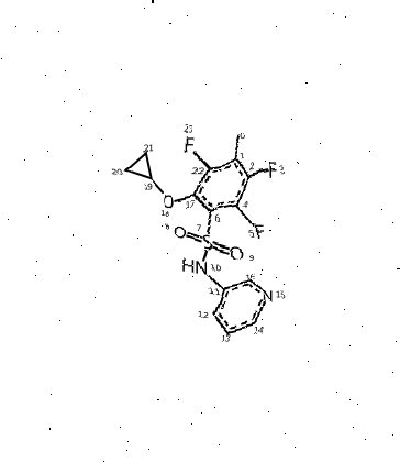 Cc1c(F)c(F)c(S(=O)(=O)Nc2cccnc2)c(OC2CC2)c1F